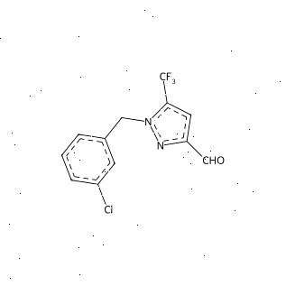 O=Cc1cc(C(F)(F)F)n(Cc2cccc(Cl)c2)n1